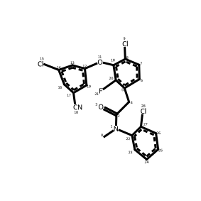 CN(C(=O)Cc1ccc(Cl)c(Oc2cc(Cl)cc(C#N)c2)c1F)c1ccccc1Cl